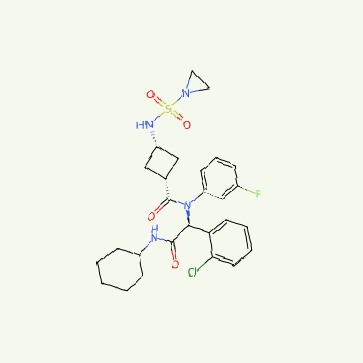 O=C(NC1CCCCC1)[C@H](c1ccccc1Cl)N(c1cccc(F)c1)C(=O)[C@H]1C[C@@H](NS(=O)(=O)N2CC2)C1